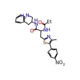 CCC(=O)NC(Cc1nc(C)c(-c2ccc([N+](=O)[O-])cc2)s1)C(=O)NC(CN)Cc1ccccc1